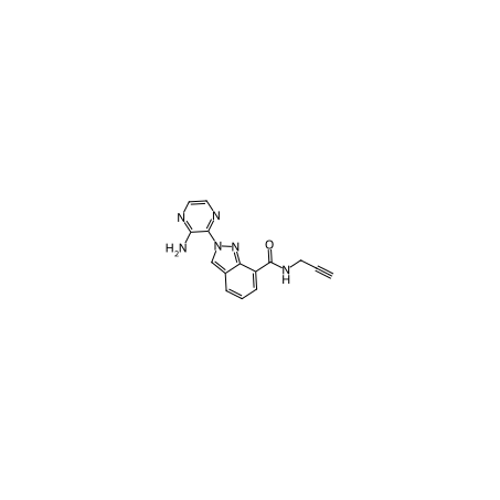 C#CCNC(=O)c1cccc2cn(-c3nccnc3N)nc12